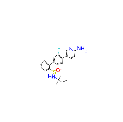 CCC(C)(C)N[S+]([O-])c1ccccc1-c1ccc(-c2ccc(N)nc2)c(F)c1